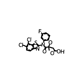 CC1(CC(=O)O)Oc2ccc(F)cc2N(c2nc3ccc(Cl)c(Cl)c3s2)C1=O